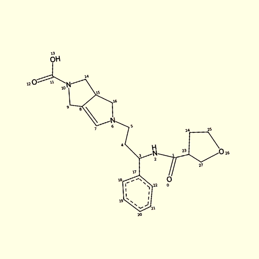 O=C(NC(CCN1C=C2CN(C(=O)O)CC2C1)c1ccccc1)C1CCOC1